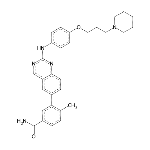 Cc1ccc(C(N)=O)cc1-c1ccc2nc(Nc3ccc(OCCCN4CCCCC4)cc3)ncc2c1